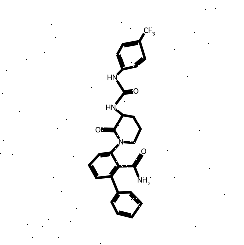 NC(=O)c1c(-c2ccccc2)cccc1N1CCCC(NC(=O)Nc2ccc(C(F)(F)F)cc2)C1=O